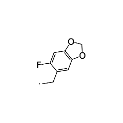 [CH2]Cc1cc2c(cc1F)OCO2